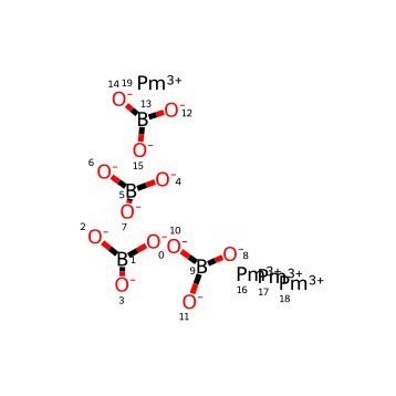 [O-]B([O-])[O-].[O-]B([O-])[O-].[O-]B([O-])[O-].[O-]B([O-])[O-].[Pm+3].[Pm+3].[Pm+3].[Pm+3]